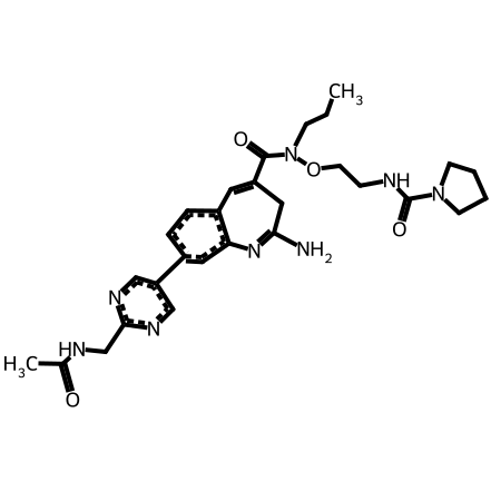 CCCN(OCCNC(=O)N1CCCC1)C(=O)C1=Cc2ccc(-c3cnc(CNC(C)=O)nc3)cc2N=C(N)C1